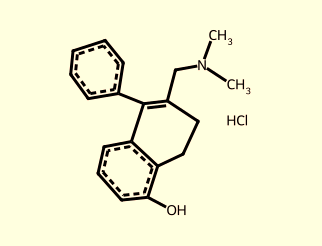 CN(C)CC1=C(c2ccccc2)c2cccc(O)c2CC1.Cl